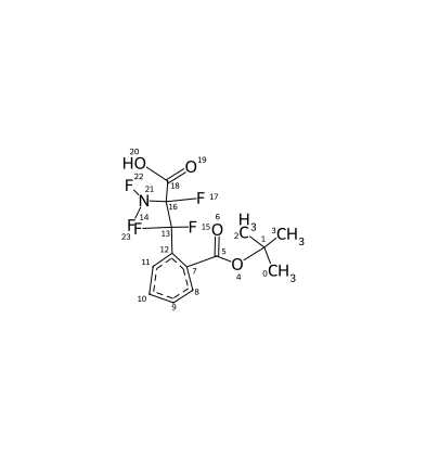 CC(C)(C)OC(=O)c1ccccc1C(F)(F)C(F)(C(=O)O)N(F)F